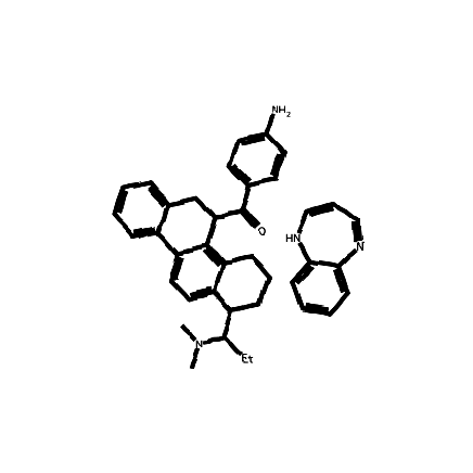 C1=CNc2ccccc2N=C1.CCC(C1CCCc2c1ccc1c2C(C(=O)c2ccc(N)cc2)Cc2ccccc2-1)N(C)C